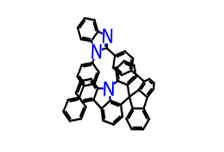 c1ccc(-c2ccc(-n3c(-c4ccc(-c5cccc6c5C5(c7ccccc7-6)c6ccccc6-n6c7ccccc7c7cccc5c76)cc4)nc4ccccc43)cc2)cc1